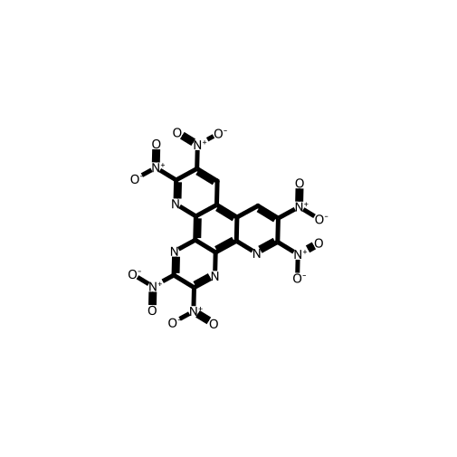 O=[N+]([O-])c1cc2c3cc([N+](=O)[O-])c([N+](=O)[O-])nc3c3nc([N+](=O)[O-])c([N+](=O)[O-])nc3c2nc1[N+](=O)[O-]